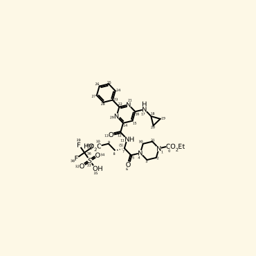 CCOC(=O)N1CCN(C(=O)[C@H](CCC(=O)O)NC(=O)c2cc(NC3CC3)nc(-c3ccccc3)n2)CC1.O=S(=O)(O)C(F)(F)F